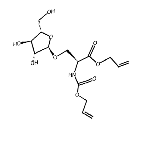 C=CCOC(=O)N[C@@H](CO[C@@H]1O[C@@H](CO)[C@H](O)[C@H]1O)C(=O)OCC=C